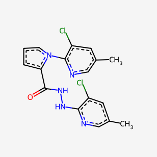 Cc1cnc(NNC(=O)c2cccn2-c2ncc(C)cc2Cl)c(Cl)c1